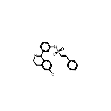 O=S(=O)(/C=C/c1ccccc1)Nc1cccc(C2=NCCc3cc(Cl)ccc32)c1